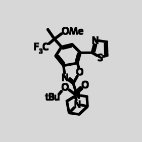 COC(C)(c1cc(-c2nccs2)c2oc(N3CC4CC(C3)N4C(=O)OC(C)(C)C)nc2c1)C(F)(F)F